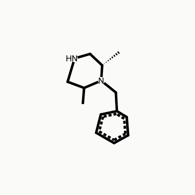 CC1CNC[C@H](C)N1Cc1ccccc1